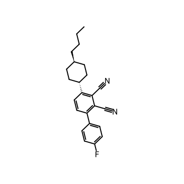 CCCC[C@H]1CC[C@H](c2ccc(-c3ccc(F)cc3)c(C#N)c2C#N)CC1